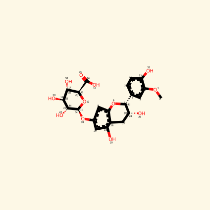 COc1cc([C@H]2Oc3cc(O[C@@H]4O[C@H](C(=O)O)[C@@H](O)[C@H](O)[C@H]4O)cc(O)c3C[C@H]2O)ccc1O